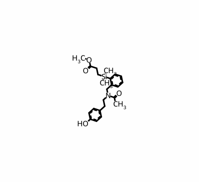 COC(=O)CC[Si](C)(C)c1ccccc1CN(CCc1ccc(O)cc1)C(C)=O